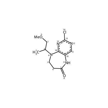 COCC(C)N1CCC(=O)Nc2cnc(Cl)nc21